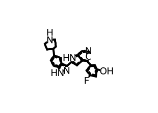 Oc1cc(F)cc(-c2cncc3[nH]c(-c4n[nH]c5ccc(C6CCNCC6)cc45)cc23)c1